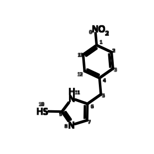 O=[N+]([O-])c1ccc(Cc2cnc(S)[nH]2)cc1